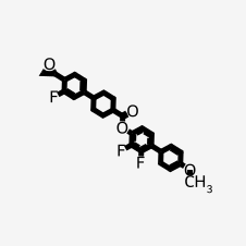 COC1=CCC(c2ccc(OC(=O)C3CCC(C4=CCC(C5CO5)C(F)=C4)CC3)c(F)c2F)C=C1